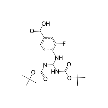 CC(C)(C)OC(=O)N=C(NC(=O)OC(C)(C)C)Nc1ccc(C(=O)O)cc1F